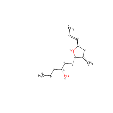 C=C1C[C@H](/C=C/C)O[C@H]1CC[C@H](O)CCC